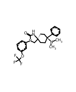 CN(C)[C@]1(c2ccccc2)CC[C@]2(CC1)CN(c1cccc(OC(F)(F)F)c1)C(=O)N2